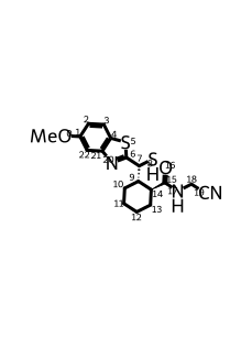 COc1ccc2sc(C(S)[C@H]3CCCC[C@@H]3C(=O)NCC#N)nc2c1